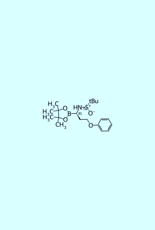 CC(C)(C)[S@@+]([O-])N[C@@H](CCOc1ccccc1)B1OC(C)(C)C(C)(C)O1